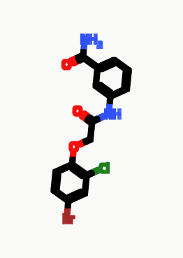 NC(=O)c1cccc(NC(=O)COc2ccc(Br)cc2Cl)c1